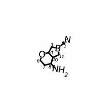 N#CB1CC2OCCC(N)C2C1